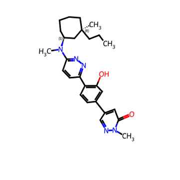 CCC[C@]1(C)CCCC[C@H](N(C)c2ccc(-c3ccc(-c4cnn(C)c(=O)c4)cc3O)nn2)C1